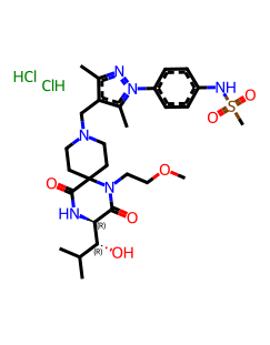 COCCN1C(=O)[C@@H]([C@H](O)C(C)C)NC(=O)C12CCN(Cc1c(C)nn(-c3ccc(NS(C)(=O)=O)cc3)c1C)CC2.Cl.Cl